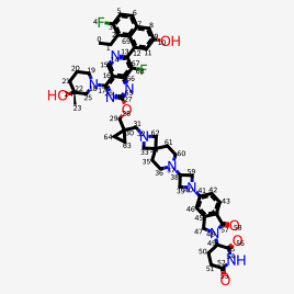 CCc1c(F)ccc2cc(O)cc(-c3ncc4c(N5CCC[C@@](C)(O)C5)nc(OCC5(CN6CC7(CCN(C8CN(c9ccc%10c(c9)CN(C9CCC(=O)NC9=O)C%10=O)C8)CC7)C6)CC5)nc4c3F)c12